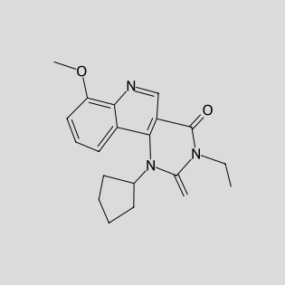 C=C1N(CC)C(=O)c2cnc3c(OC)cccc3c2N1C1CCCC1